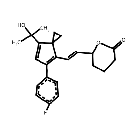 CC(C)(O)C1=CC(c2ccc(F)cc2)=C(C=CC2CCCC(=O)O2)C12CC2